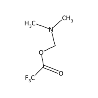 CN(C)COC(=O)C(F)(F)F